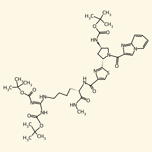 CNC(=O)[C@H](CCCCN/C(=N\C(=O)OC(C)(C)C)NC(=O)OC(C)(C)C)NC(=O)c1csc([C@@H]2C[C@@H](NC(=O)OC(C)(C)C)CN2C(=O)c2cn3ccccc3n2)n1